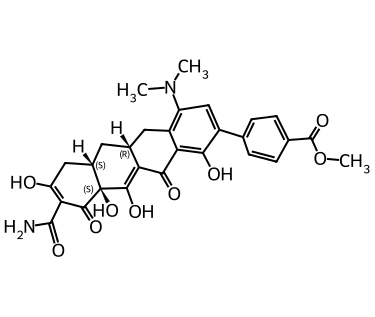 COC(=O)c1ccc(-c2cc(N(C)C)c3c(c2O)C(=O)C2=C(O)[C@]4(O)C(=O)C(C(N)=O)=C(O)C[C@@H]4C[C@@H]2C3)cc1